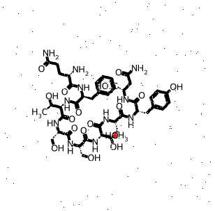 C[C@@H](O)[C@H](NC(=O)[C@H](CO)NC(=O)[C@H](CO)NC(=O)[C@@H](NC(=O)[C@H](Cc1ccccc1)NC(=O)[C@@H](N)CCC(N)=O)[C@@H](C)O)C(=O)N[C@@H](CO)C(=O)N[C@@H](Cc1ccc(O)cc1)C(=O)N[C@@H](CC(N)=O)C(=O)O